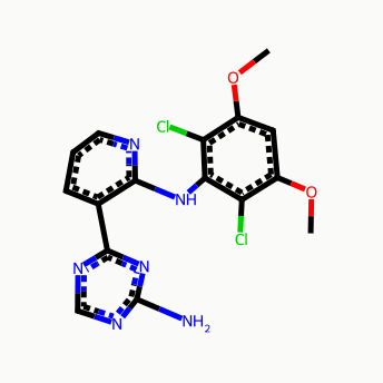 COc1cc(OC)c(Cl)c(Nc2ncccc2-c2ncnc(N)n2)c1Cl